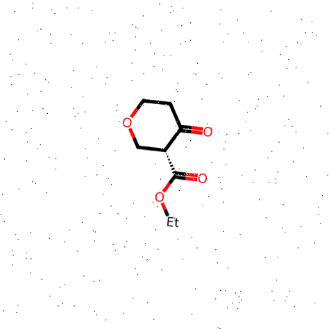 CCOC(=O)[C@@H]1COCCC1=O